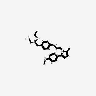 CCO[C@H](CO)Cc1ccc(OCCn2c(C)ccc2-c2ccc(SC)cc2)cc1